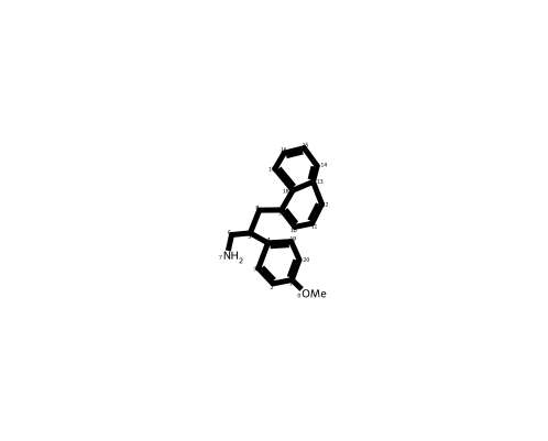 COc1ccc(C(CN)Cc2cccc3ccccc23)cc1